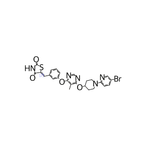 Cc1c(Oc2cccc(/C=C3\SC(=O)NC3=O)c2)ncnc1OC1CCN(c2ccc(Br)cn2)CC1